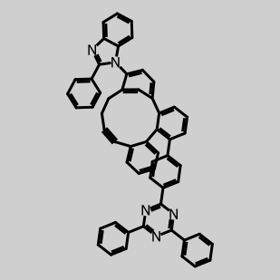 C1#Cc2ccccc2-c2c(-c3ccc(-c4nc(-c5ccccc5)nc(-c5ccccc5)n4)cc3)cccc2-c2ccc(-n3c(-c4ccccc4)nc4ccccc43)c(c2)CC1